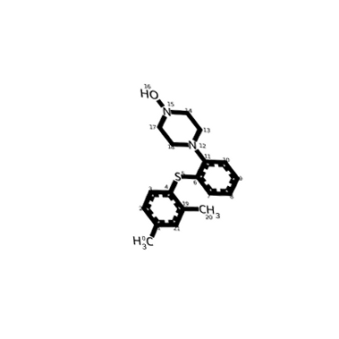 Cc1ccc(Sc2ccccc2N2CCN(O)CC2)c(C)c1